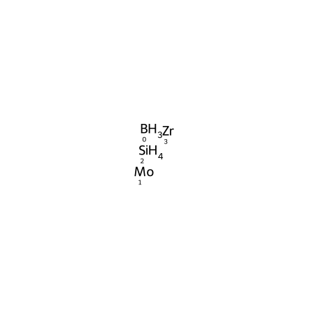 B.[Mo].[SiH4].[Zr]